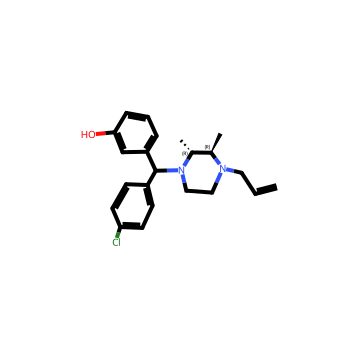 C=CCN1CCN(C(c2ccc(Cl)cc2)c2cccc(O)c2)[C@H](C)[C@H]1C